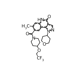 Cc1cc2[nH]c(=O)c3cnn(C4CCOCC4)c3c2cc1C(=O)N1CCC(OCC(F)(F)F)CC1